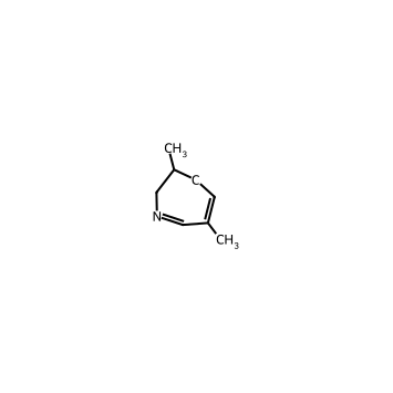 CC1=CCC(C)CN=C1